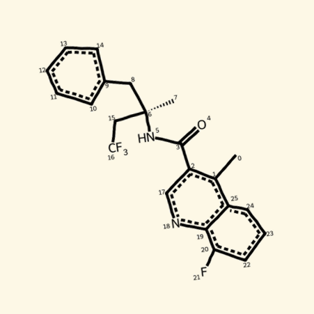 Cc1c(C(=O)N[C@](C)(Cc2ccccc2)CC(F)(F)F)cnc2c(F)cccc12